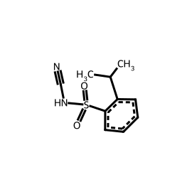 CC(C)c1ccccc1S(=O)(=O)NC#N